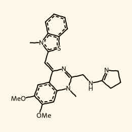 COc1cc2c(cc1OC)N(C)C(CNC1=NCCC1)=NC2=Cc1sc2ccccc2[n+]1C